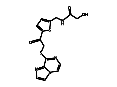 O=C(CO)NCc1ccc(C(=O)CSc2nccn3ccnc23)s1